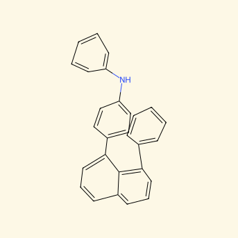 c1ccc(Nc2ccc(-c3cccc4cccc(-c5ccccc5)c34)cc2)cc1